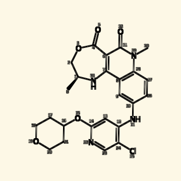 C[C@H]1COC(=O)c2c(c3cc(Nc4cc(OC5CCOCC5)ncc4Cl)ccc3n(C)c2=O)N1